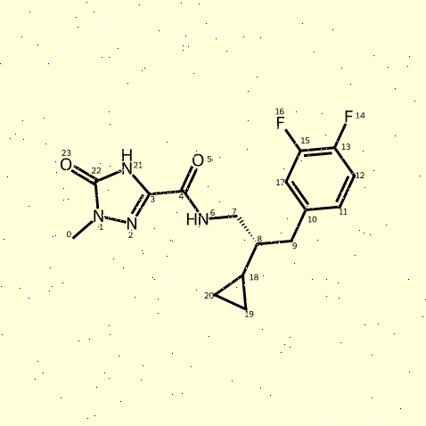 Cn1nc(C(=O)NC[C@H](Cc2ccc(F)c(F)c2)C2CC2)[nH]c1=O